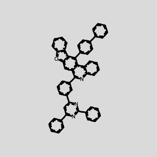 c1ccc(-c2ccc(-c3c4c(cc5c(-c6cccc(-c7cc(-c8ccccc8)nc(-c8ccccc8)n7)c6)nc6ccccc6c35)oc3ccccc34)cc2)cc1